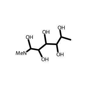 CNC(O)C(O)C(O)C(O)C(C)O